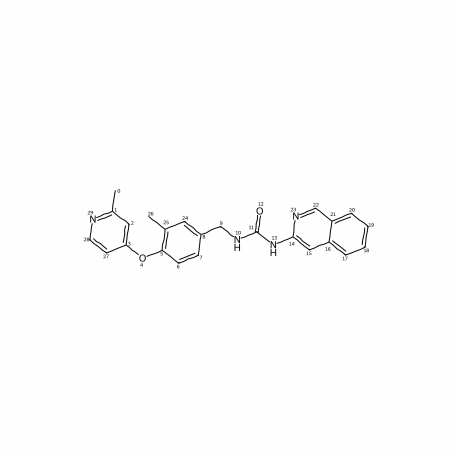 Cc1cc(Oc2ccc(CNC(=O)Nc3cc4ccccc4cn3)cc2C)ccn1